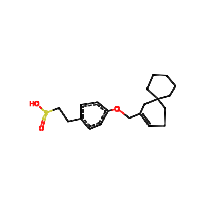 O=S(O)CCc1ccc(OCC2=CCCC3(CCCCC3)C2)cc1